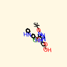 C[Si](C)(C)CCOCn1cc(C(=O)c2ccc(Nc3ccccc3)cc2Cl)c2c(N[C@@H]3CC[C@@H](CO)OC3)ncnc21